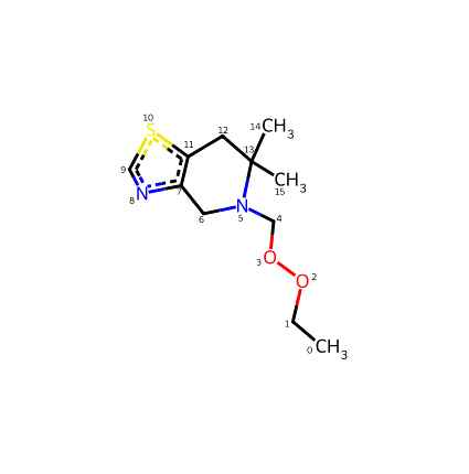 CCOOCN1Cc2ncsc2CC1(C)C